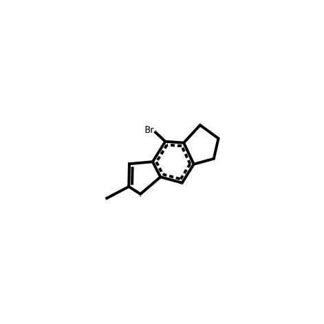 CC1=Cc2c(cc3c(c2Br)CCC3)[CH]1